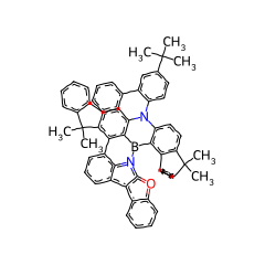 CC(C)(C)c1ccc(N2c3ccc4c(c3B3c5c2cc2c(c5-c5cccc6c7c8ccccc8oc7n3c56)C(C)(C)c3ccccc3-2)-c2ccccc2C4(C)C)c(-c2ccccc2)c1